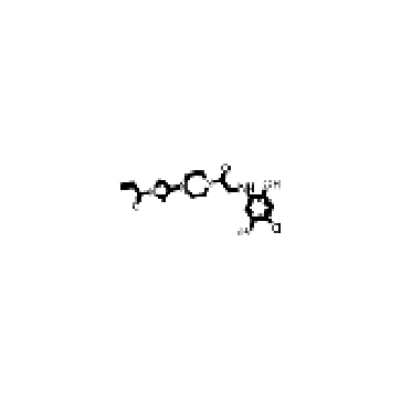 C=CC(=O)N1CC(N2CCN(C(=O)CNc3cc(C(C)C)c(Cl)cc3O)CC2)C1